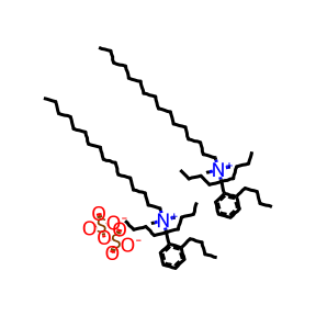 CCCCCCCCCCCCCCCC[N+](C)(C)C(CCCC)(CCCC)c1ccccc1CCCC.CCCCCCCCCCCCCCCC[N+](C)(C)C(CCCC)(CCCC)c1ccccc1CCCC.O=S(=O)([O-])OS(=O)(=O)[O-]